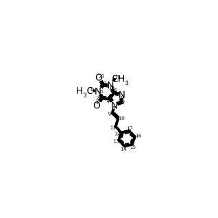 Cn1c(=O)c2c(ncn2C=CCc2ccccc2)n(C)c1=O